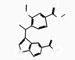 COC(=O)c1ccc(C(C)c2c[nH]c3ccc(C(=O)O)cc23)c(OC)c1